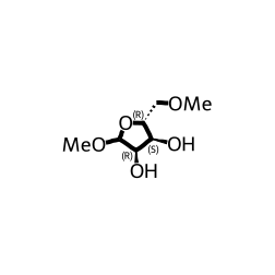 COC[C@H]1OC(OC)[C@H](O)[C@@H]1O